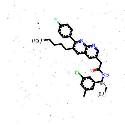 Cc1cc(Cl)cc([C@@H](CC(F)(F)F)NC(=O)Cc2cnc3nc(-c4ccc(F)cc4)c(CCCCC(=O)O)cc3c2)c1